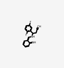 C#CCC(N/C=C1/C=CC=CC1=N)c1cc(F)ccc1F